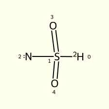 [2H]S([N])(=O)=O